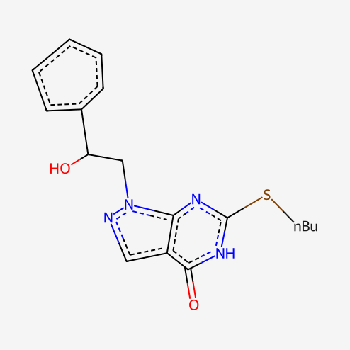 CCCCSc1nc2c(cnn2CC(O)c2ccccc2)c(=O)[nH]1